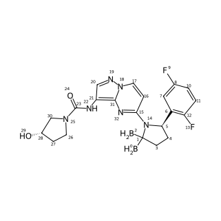 BC1(B)CC[C@H](c2cc(F)ccc2F)N1c1ccn2ncc(NC(=O)N3CC[C@H](O)C3)c2n1